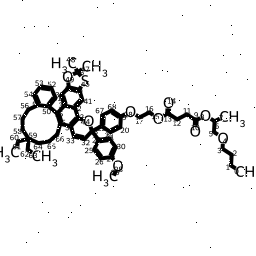 CCCCOCC(C)OC(=O)CCC(=O)OCCOc1ccc(C2(c3ccc(OC)cc3)C=Cc3c4c(c5cc6c(cc5c3O2)SC(C)(C)O6)-c2ccccc2CCCC(CC)(CC)CCC4)cc1